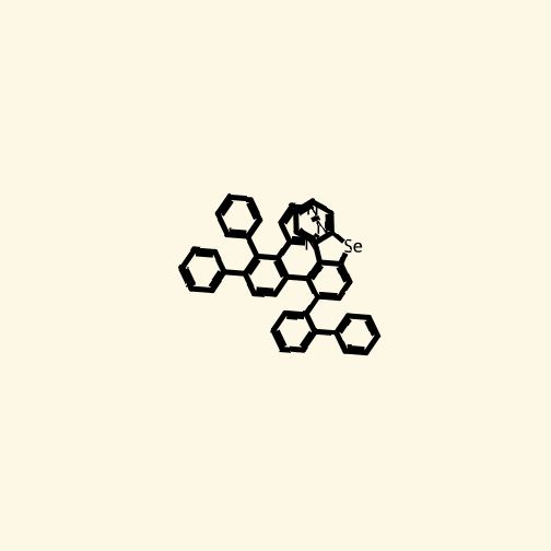 c1ccc(-c2ccccc2-c2ccc3[se]c4ccccc4c3c2-c2ccc(-c3ccccc3)c(-c3ccccc3)c2-c2ccnnn2)cc1